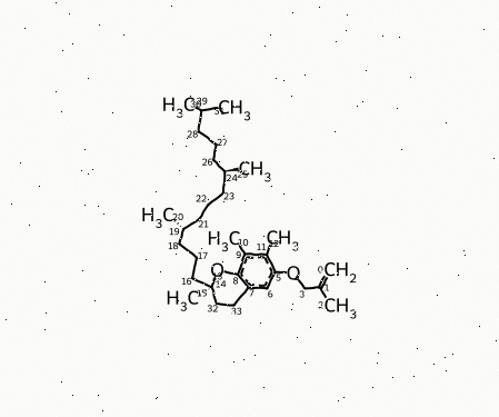 C=C(C)COc1cc2c(c(C)c1C)O[C@](C)(CCC[C@H](C)CCC[C@H](C)CCCC(C)C)CC2